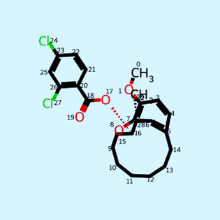 COc1ccc2c3c1OC(CCCCC2)C[C@@H](OC(=O)c1ccc(Cl)cc1Cl)[C@@H]3C